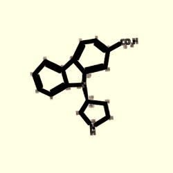 O=C(O)c1ccc2c3ccccc3n([C@H]3CCNC3)c2c1